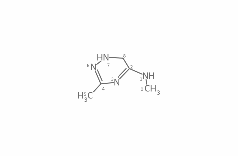 CNC1=NC(C)=NNC1